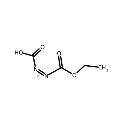 CCOC(=O)/N=N\C(=O)O